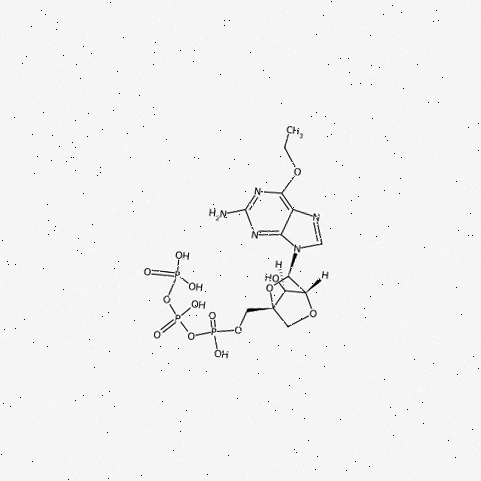 CCOc1nc(N)nc2c1ncn2[C@@H]1O[C@@]2(COP(=O)(O)OP(=O)(O)OP(=O)(O)O)CO[C@@H]1[C@@H]2O